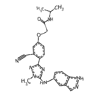 CC(C)NC(=O)COc1ccc(-c2nc(Nc3ccc4[nH]ncc4c3)n(C)n2)c(C#N)c1